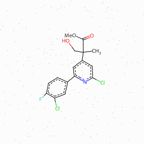 COC(=O)C(C)(CO)c1cc(Cl)nc(-c2ccc(F)c(Cl)c2)c1